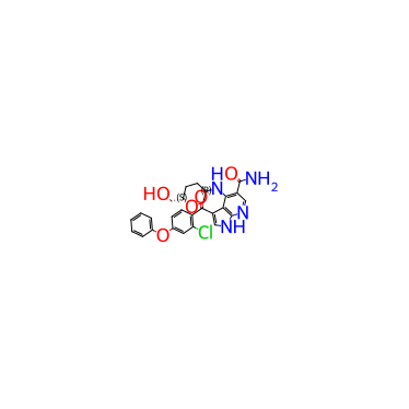 NC(=O)c1cnc2[nH]cc(C(=O)c3ccc(Oc4ccccc4)cc3Cl)c2c1N[C@@H]1CC[C@@H](CO)OC1